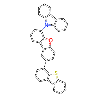 c1ccc2c(c1)sc1c(-c3ccc4oc5c(-n6c7ccccc7c7ccccc76)cccc5c4c3)cccc12